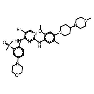 COc1cc(N2CCC(N3CCN(C)CC3)CC2)c(C)cc1Nc1ncc(Br)c(Nc2ccc(N3CCOCC3)cc2P(C)(C)=O)n1